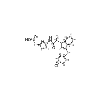 O=C(O)Cc1csc(NC(=O)C(=O)c2cn(Cc3ccc(Cl)cc3)c3ccccc23)n1